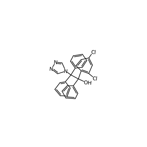 OC(c1ccccc1)(c1ccc(Cl)cc1Cl)C(c1ccccc1)(c1ccccc1)n1cnnc1